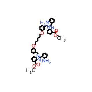 CCOC(=O)c1cccc2c1nc(-c1ccccc1N)n2Cc1cccc(OCCCCCCOc2cccc(Cn3c(-c4ccccc4N)nc4c(C(=O)OCC)cccc43)c2)c1